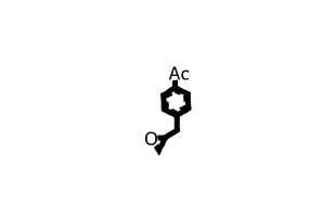 CC(=O)c1ccc(CC2CO2)cc1